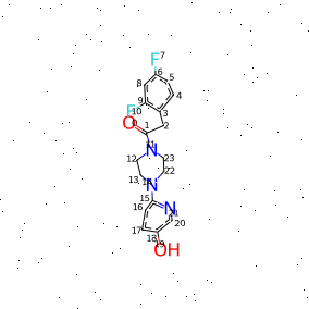 O=C(Cc1ccc(F)cc1F)N1CCN(c2ccc(O)cn2)CC1